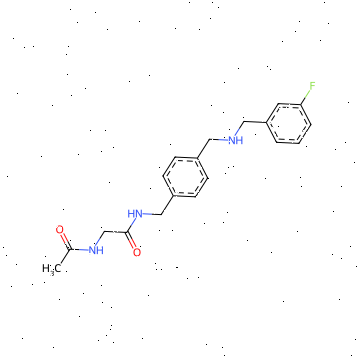 CC(=O)NCC(=O)NCc1ccc(CNCc2cccc(F)c2)cc1